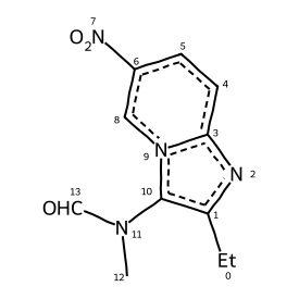 CCc1nc2ccc([N+](=O)[O-])cn2c1N(C)C=O